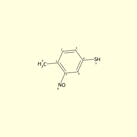 Cc1ccc(S)cc1N=O